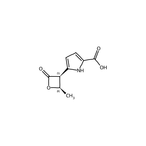 C[C@H]1OC(=O)[C@H]1c1ccc(C(=O)O)[nH]1